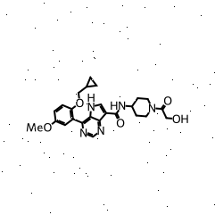 COc1ccc(OCC2CC2)c(-c2ncnc3c(C(=O)NC4CCN(C(=O)CO)CC4)c[nH]c23)c1